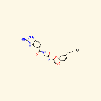 N=C(N)Nc1cccc(C(=O)NCC(=O)NC2=COc3ccc(CCC(=O)O)cc3O2)c1